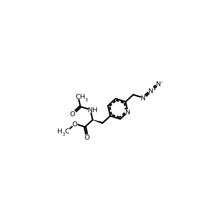 COC(=O)[C@H](Cc1ccc(CN=[N+]=[N-])nc1)NC(C)=O